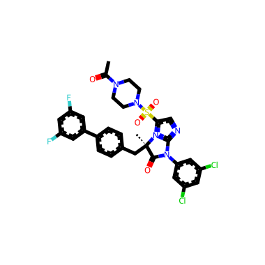 CC(=O)N1CCN(S(=O)(=O)c2cnc3n2[C@](C)(Cc2ccc(-c4cc(F)cc(F)c4)cc2)C(=O)N3c2cc(Cl)cc(Cl)c2)CC1